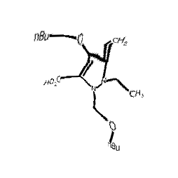 C=C1C(OCCCC)=C(C(=O)O)N(COCCCC)N1C